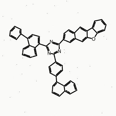 c1ccc(-c2ccc(-c3nc(-c4ccc(-c5cccc6ccccc56)cc4)nc(-c4ccc5cc6c(cc5c4)oc4ccccc46)n3)c3ccccc23)cc1